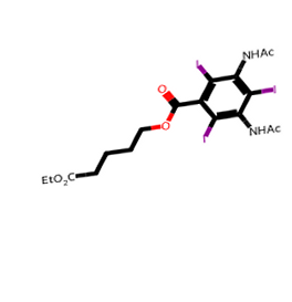 CCOC(=O)CCCCOC(=O)c1c(I)c(NC(C)=O)c(I)c(NC(C)=O)c1I